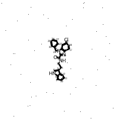 O=C(NCCc1c[nH]c2ccccc12)c1nc2ccc(Cl)cc2n1Cc1ccccc1